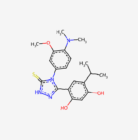 COc1cc(-n2c(-c3cc(C(C)C)c(O)cc3O)n[nH]c2=S)ccc1N(C)C